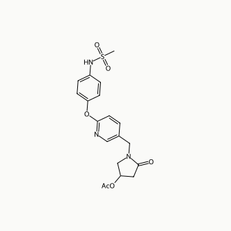 CC(=O)OC1CC(=O)N(Cc2ccc(Oc3ccc(NS(C)(=O)=O)cc3)nc2)C1